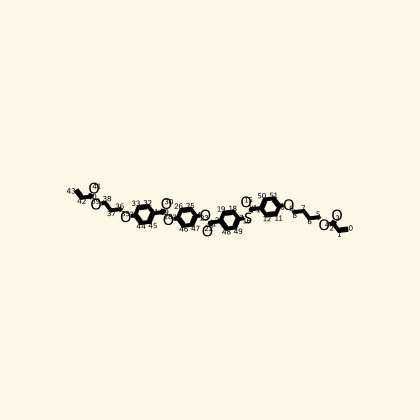 C=CC(=O)OCCCCOc1ccc(C(=O)Sc2ccc(C(=O)Oc3ccc(OC(=O)c4ccc(OCCCOC(=O)C=C)cc4)cc3)cc2)cc1